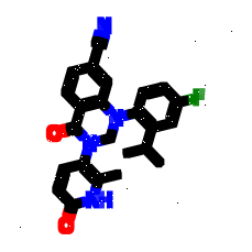 Cc1[nH]c(=O)ccc1N1CN(c2ccc(F)cc2C(C)C)c2cc(C#N)ccc2C1=O